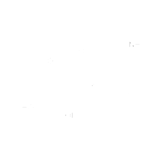 CC1OC2OC3=C(SC2C(O)C1O)C(=O)CNC3